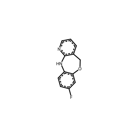 Fc1ccc2c(c1)OCc1cccnc1N2